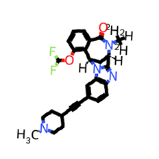 [2H]C([2H])([2H])N1C(=O)c2cccc(OC(F)F)c2[C@H]2C[C@@H]1c1nc3ccc(C#CC4CCN(C)CC4)cc3n12